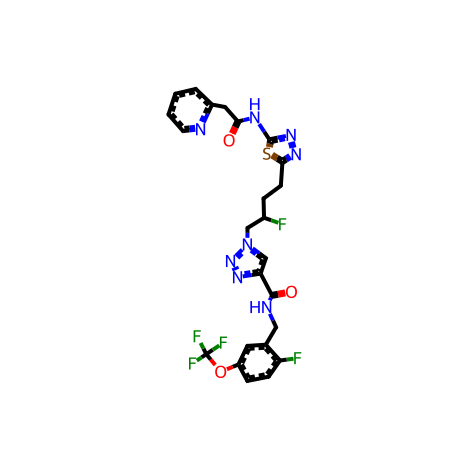 O=C(Cc1ccccn1)Nc1nnc(CCC(F)Cn2cc(C(=O)NCc3cc(OC(F)(F)F)ccc3F)nn2)s1